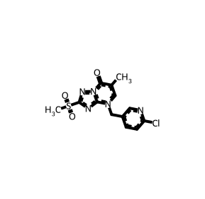 Cc1cn(Cc2ccc(Cl)nc2)c2nc(S(C)(=O)=O)nn2c1=O